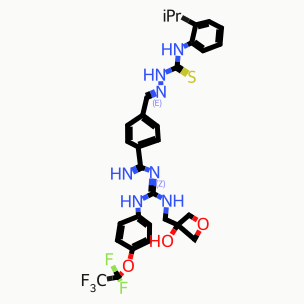 CC(C)c1ccccc1NC(=S)N/N=C/c1ccc(C(=N)/N=C(/NCC2(O)COC2)Nc2ccc(OC(F)(F)C(F)(F)F)cc2)cc1